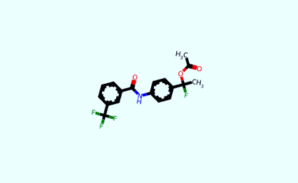 CC(=O)OC(C)(F)c1ccc(NC(=O)c2cccc(C(F)(F)F)c2)cc1